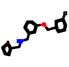 Clc1cccc(COc2cccc(CNCc3cccs3)c2)c1